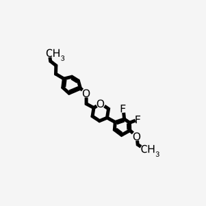 CCCCc1ccc(OCC2CCC(c3ccc(OCC)c(F)c3F)CO2)cc1